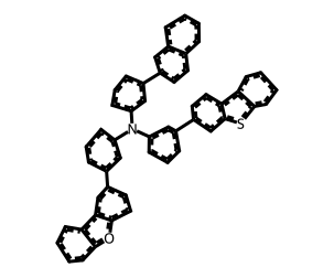 c1cc(-c2ccc3ccccc3c2)cc(N(c2cccc(-c3ccc4c(c3)sc3ccccc34)c2)c2cccc(-c3ccc4oc5ccccc5c4c3)c2)c1